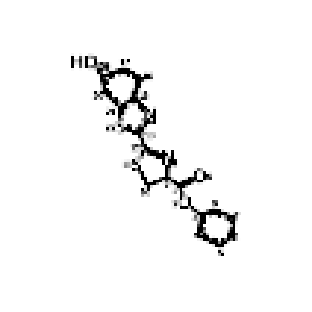 O=C(Oc1ccccc1)C1CSC(c2nc3ccc(O)cc3s2)=N1